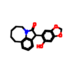 O=C1C(c2cc3c(cc2O)OCO3)c2cccc3c2N1CCCCC3